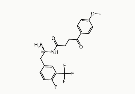 B[C@H](Cc1ccc(F)c(C(F)(F)F)c1)NC(=O)CCC(=O)c1ccc(OC)cc1